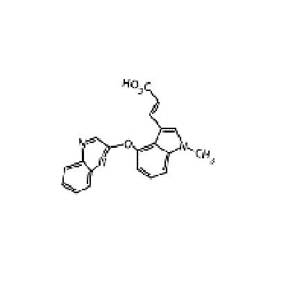 Cn1cc(C=CC(=O)O)c2c(Oc3cnc4ccccc4n3)cccc21